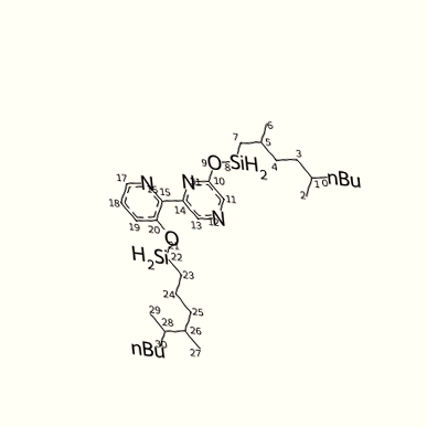 CCCCC(C)CCC(C)C[SiH2]Oc1cncc(-c2ncccc2O[SiH2]CCCC(C)C(C)CCCC)n1